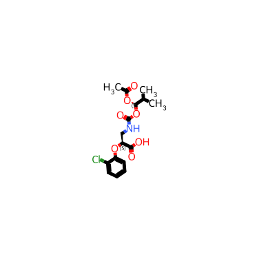 CC(=O)O[C@@H](OC(=O)NC[C@H](Oc1ccccc1Cl)C(=O)O)C(C)C